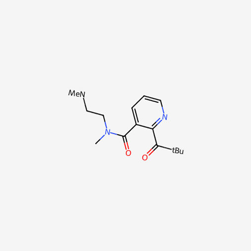 CNCCN(C)C(=O)c1cccnc1C(=O)C(C)(C)C